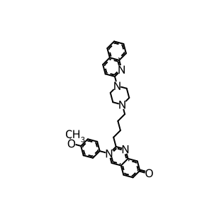 COc1ccc(-n2cc3ccc(=O)cc-3nc2CCCCN2CCN(c3ccc4ccccc4n3)CC2)cc1